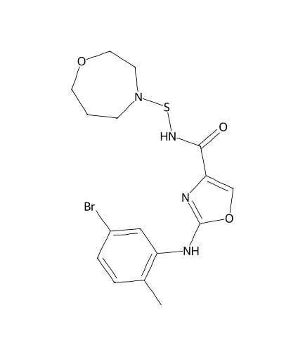 Cc1ccc(Br)cc1Nc1nc(C(=O)NSN2CCCOCC2)co1